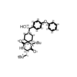 CCCCN1C(=O)[C@H](CC(C)(C)C)NC(=O)C12CCN(Cc1ccc(Oc3ccccc3)cc1)CC2.Cl